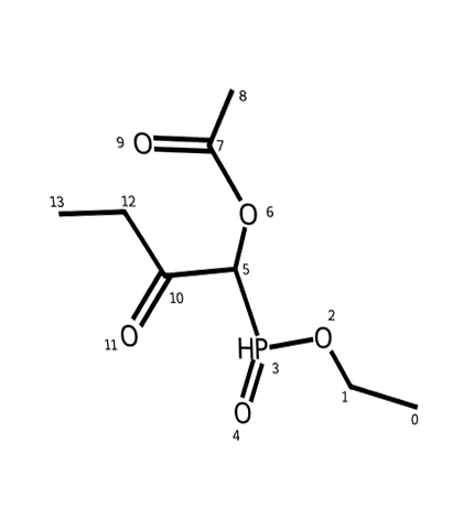 CCO[PH](=O)C(OC(C)=O)C(=O)CC